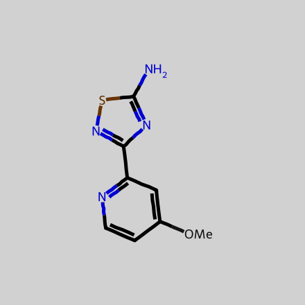 COc1ccnc(-c2nsc(N)n2)c1